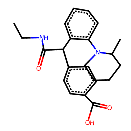 CCNC(=O)C(c1ccc(C(=O)O)cc1)c1ccccc1N1CCCCC1C